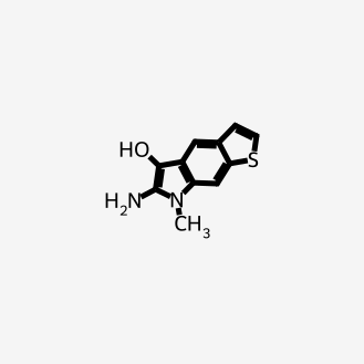 Cn1c(N)c(O)c2cc3ccsc3cc21